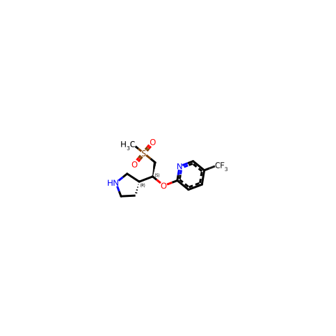 CS(=O)(=O)C[C@@H](Oc1ccc(C(F)(F)F)cn1)[C@@H]1CCNC1